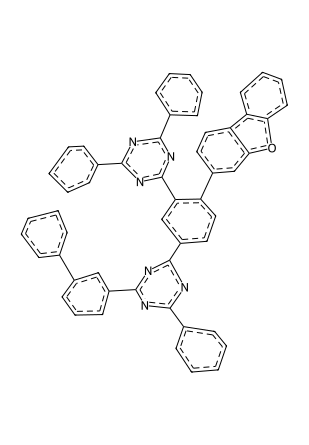 c1ccc(-c2cccc(-c3nc(-c4ccccc4)nc(-c4ccc(-c5ccc6c(c5)oc5ccccc56)c(-c5nc(-c6ccccc6)nc(-c6ccccc6)n5)c4)n3)c2)cc1